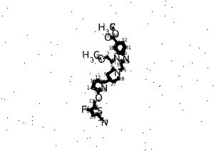 COCCn1c(CN2CCC(c3cccc(OCc4sc(C#N)cc4F)n3)CC2)nc2ccc(C(=O)OC)cc21